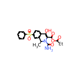 CCC(=O)OC(=O)C1=C(O)c2ccc(S(=O)(=O)c3ccccc3)cc2[C@H](C)N1C(N)=O